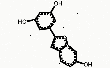 Oc1cc(O)cc(-c2cc3ccc(O)cc3s2)c1